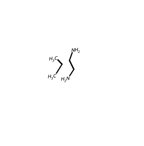 CCC.NCCN